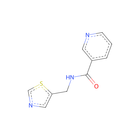 O=C(NCc1cncs1)c1cccnc1